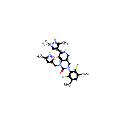 COc1cc(OC)c(F)c(N2CC3CN=C(c4cn(C)nc4C)C=C3N(Cc3cc(C)no3)C2=O)c1F